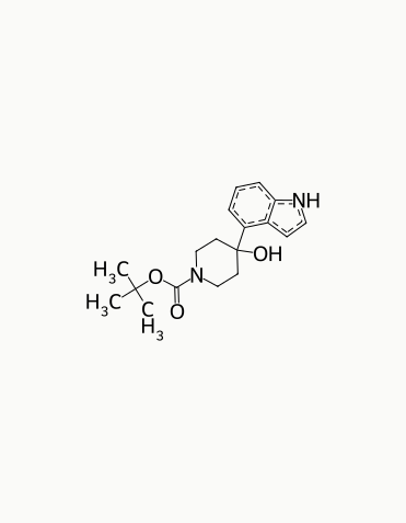 CC(C)(C)OC(=O)N1CCC(O)(c2cccc3[nH]ccc23)CC1